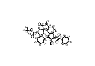 CN1C(=O)C2(CCN(C(=O)OC(C)(C)C)C2)c2c1cnc1c2c(-c2ccccc2)c(Br)n1S(=O)(=O)c1ccccc1